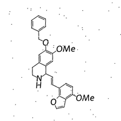 COc1cc2c(cc1OCc1ccccc1)CCNC2C=Cc1ccc(OC)c2ccoc12